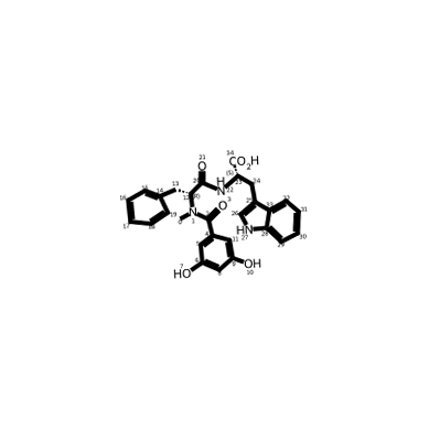 CN(C(=O)c1cc(O)cc(O)c1)[C@H](Cc1ccccc1)C(=O)N[C@@H](Cc1c[nH]c2ccccc12)C(=O)O